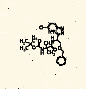 CC(C)(C)OC(=O)NC(C)(C)C(=O)NC(COCc1ccccc1)c1nnc2ccc(Cl)nn12